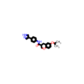 CC(C)Oc1ccc2c(c1)CC(C(=O)Nc1ccc(-c3cn[nH]c3)cc1)CO2